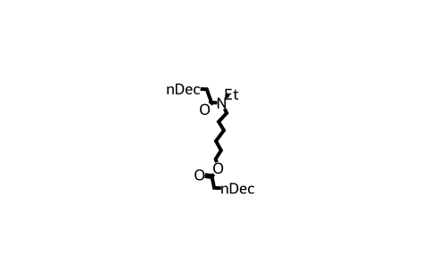 CCCCCCCCCCCC(=O)OCCCCCCN(CC)C(=O)CCCCCCCCCCC